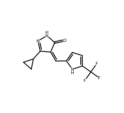 O=C1NN=C(C2CC2)/C1=C/c1ccc(C(F)(F)F)[nH]1